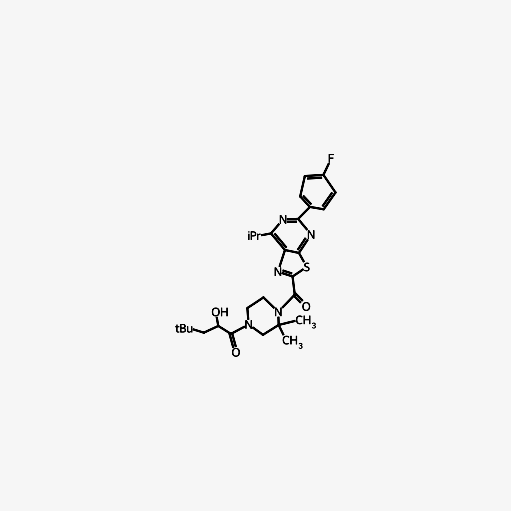 CC(C)c1nc(-c2ccc(F)cc2)nc2sc(C(=O)N3CCN(C(=O)C(O)CC(C)(C)C)CC3(C)C)nc12